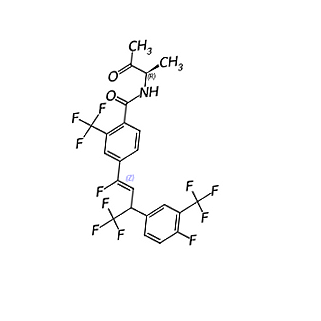 CC(=O)[C@@H](C)NC(=O)c1ccc(/C(F)=C/C(c2ccc(F)c(C(F)(F)F)c2)C(F)(F)F)cc1C(F)(F)F